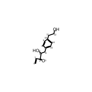 C=CC(=O)C(O)Cc1ccc(CCO)cc1